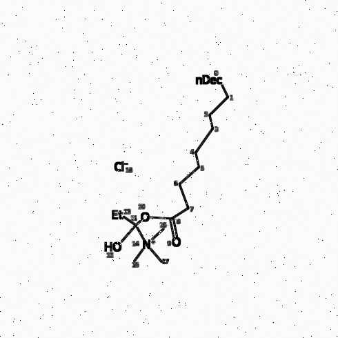 CCCCCCCCCCCCCCCCCC(=O)OC(O)(CC)[N+](C)(C)C.[Cl-]